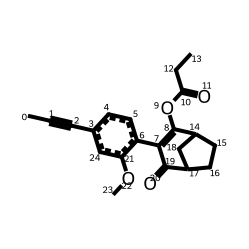 CC#Cc1ccc(C2=C(OC(=O)CC)C3CCC(C3)C2=O)c(OC)c1